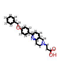 O=C(O)CCN1CCc2nc(-c3ccc(OCc4ccccc4)cc3)ccc2C1